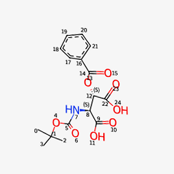 CC(C)(C)OC(=O)N[C@H](C(=O)O)[C@H](OC(=O)c1ccccc1)C(=O)O